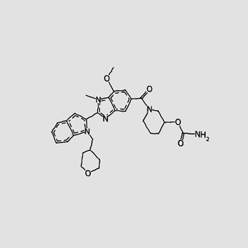 COc1cc(C(=O)N2CCCC(OC(N)=O)C2)cc2nc(-c3cc4ccccc4n3CC3CCOCC3)n(C)c12